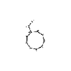 [S]SC1CCCCCCCC1